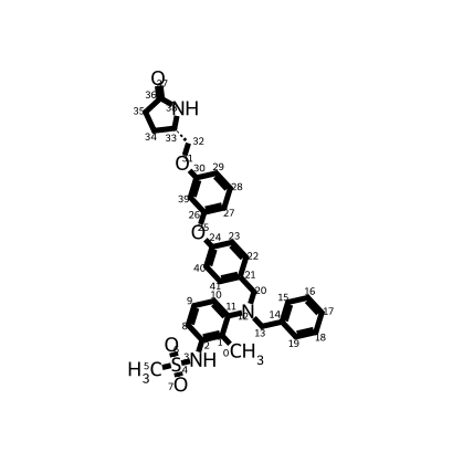 Cc1c(NS(C)(=O)=O)cccc1N(Cc1ccccc1)Cc1ccc(Oc2cccc(OC[C@@H]3CCC(=O)N3)c2)cc1